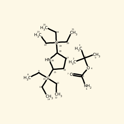 CC(C)(C)OC(N)=O.CC[Si](CC)(CC)C1CCC([Si](CC)(CC)CC)N1